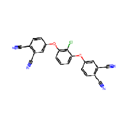 N#Cc1ccc(Oc2cccc(Oc3ccc(C#N)c(C#N)c3)c2Cl)cc1C#N